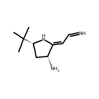 CC(C)(C)[C@H]1C[C@@H](N)/C(=C/C=N)N1